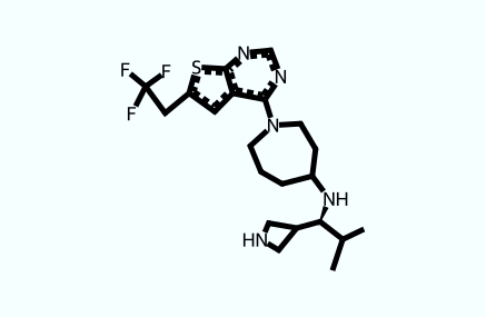 CC(C)[C@H](NC1CCCN(c2ncnc3sc(CC(F)(F)F)cc23)CC1)C1CNC1